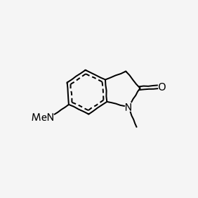 CNc1ccc2c(c1)N(C)C(=O)C2